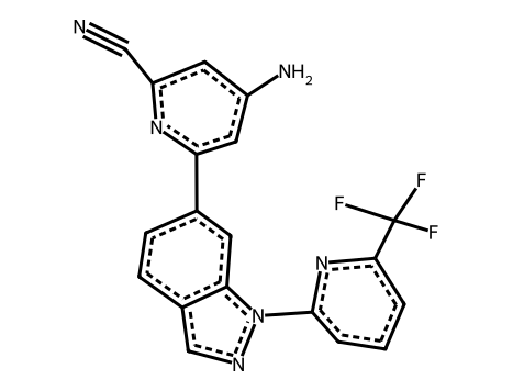 N#Cc1cc(N)cc(-c2ccc3cnn(-c4cccc(C(F)(F)F)n4)c3c2)n1